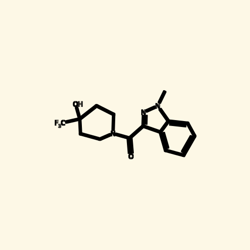 Cn1nc(C(=O)N2CCC(O)(C(F)(F)F)CC2)c2ccccc21